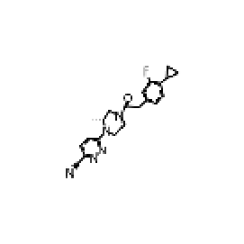 C[C@@H]1CN(C(=O)Cc2ccc(C3CC3)c(F)c2)CCN1c1ccc(C#N)nn1